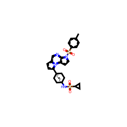 Cc1ccc(S(=O)(=O)n2ccc3c2ncc2ccc(C45CCC(NS(=O)(=O)C6CC6)(CC4)CC5)n23)cc1